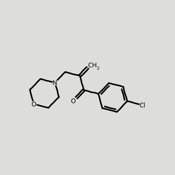 C=C(CN1CCOCC1)C(=O)c1ccc(Cl)cc1